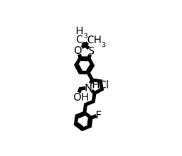 CC1(C)Oc2ccc(C3CCC(CCc4ccccc4F)N3CO)cc2S1.Cl